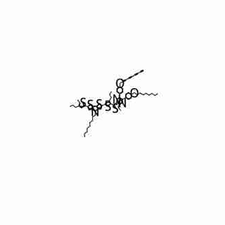 C#CC#CC#CC#COc1ccc(-c2nc3c(-c4sc(-c5cc6c(s5)c5sc(-c7cc(CCC)c(C)s7)cc5n6CCCCCCCCC)cc4CCC)sc(C)c3nc2-c2ccc(OCCCCCCCC)cc2)cc1